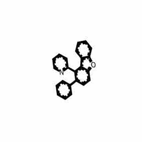 c1ccc(-c2ccc3oc4ccccc4c3c2-c2ccccn2)cc1